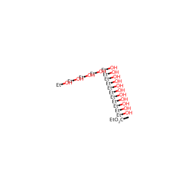 CCO.CCO.CCO.CCO.CCO.CCO.CCO.CCO.CCO.CCO.CCO.CCO.CCO.CCO.CCO.CCOC(C)=O